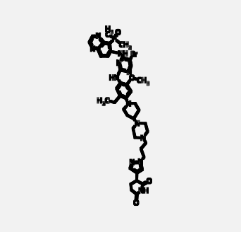 CCc1cc(Nc2ncc(Br)c(Nc3ccc4nccnc4c3P(C)(C)=O)n2)c(OC)cc1N1CCC(N2CCN(CCCn3cc(C4CCC(=O)NC4=O)cn3)CC2)CC1